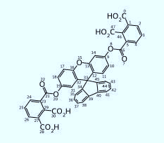 O=C(O)c1cccc(C(=O)Oc2ccc3c(c2)Oc2ccc(OC(=O)c4cccc(C(=O)O)c4C(=O)O)cc2C32c3ccccc3-c3ccccc32)c1C(=O)O